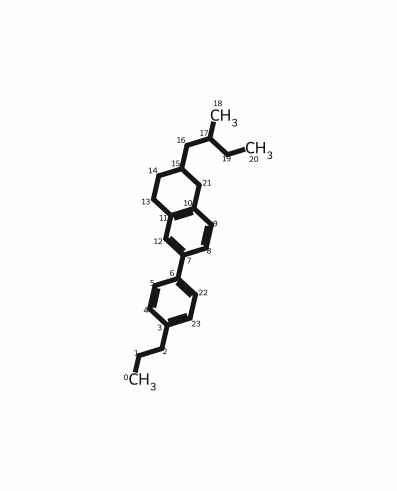 CCCc1ccc(-c2ccc3c(c2)CCC(CC(C)CC)C3)cc1